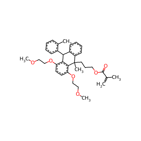 C=C(C)C(=O)OCCCC1(C)c2ccccc2C(c2ccccc2C)c2c(OCCOC)ccc(OCCOC)c21